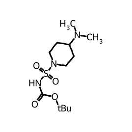 CN(C)C1CCN(S(=O)(=O)NC(=O)OC(C)(C)C)CC1